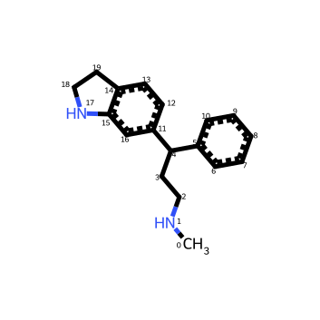 CNCCC(c1ccccc1)c1ccc2c(c1)NCC2